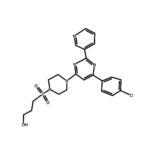 O=S(=O)(CCCO)N1CCN(c2cc(-c3ccc(Cl)cc3)nc(-c3cccnc3)n2)CC1